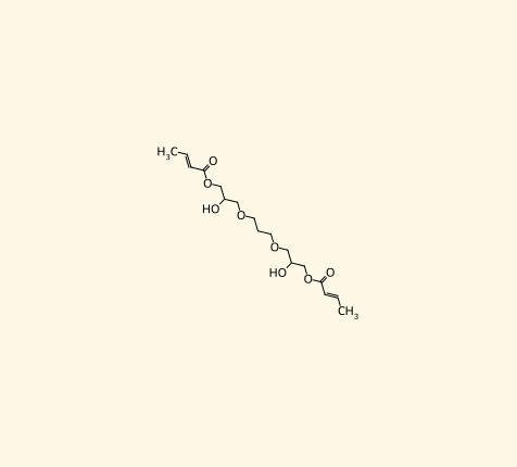 CC=CC(=O)OCC(O)COCCCOCC(O)COC(=O)C=CC